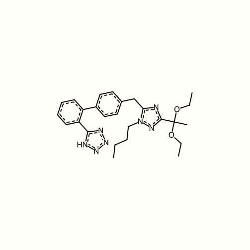 CCCCn1nc(C(C)(OCC)OCC)nc1Cc1ccc(-c2ccccc2-c2nnn[nH]2)cc1